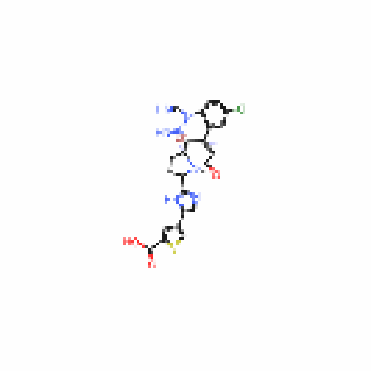 CN1/C(=C(Br)\C(=C/C=O)c2cc(Cl)ccc2N(C=N)N=N)CCC1c1ncc(-c2csc(C(=O)O)c2)[nH]1